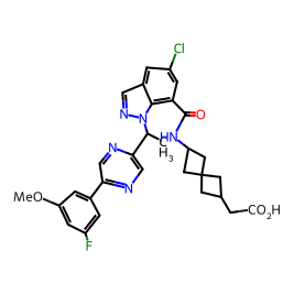 COc1cc(F)cc(-c2cnc(C(C)n3ncc4cc(Cl)cc(C(=O)NC5CC6(CC(CC(=O)O)C6)C5)c43)cn2)c1